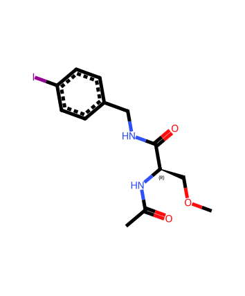 COC[C@@H](NC(C)=O)C(=O)NCc1ccc(I)cc1